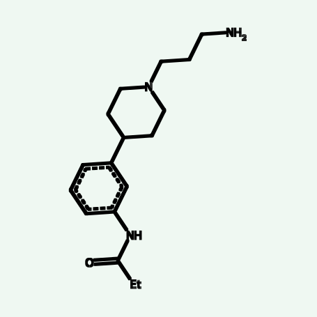 CCC(=O)Nc1cccc(C2CCN(CCCN)CC2)c1